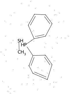 CS.c1ccc(Pc2ccccc2)cc1